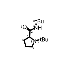 CC(C)(C)NC(=O)C1CCCN1C(C)(C)C